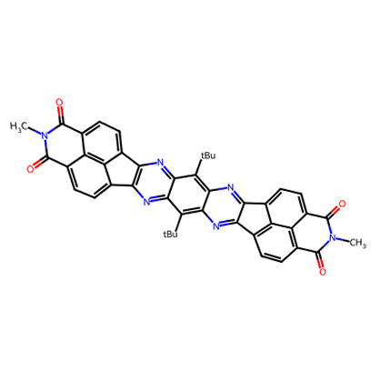 CN1C(=O)c2ccc3c4c(ccc(c24)C1=O)-c1nc2c(C(C)(C)C)c4nc5c(nc4c(C(C)(C)C)c2nc1-3)-c1ccc2c3c(ccc-5c13)C(=O)N(C)C2=O